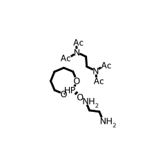 CC(=O)N(CCN(C(C)=O)C(C)=O)C(C)=O.NCCN.O=[PH]1OCCCCCO1